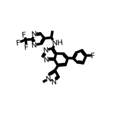 CC(Nc1ncnc2c(-c3cnn(C)c3)cc(-c3ccc(F)cc3)cc12)c1cnc(C(F)(F)F)nc1